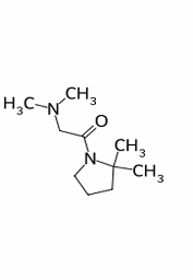 CN(C)CC(=O)N1CCCC1(C)C